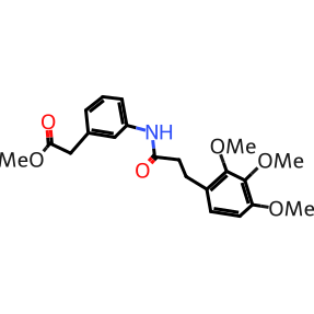 COC(=O)Cc1cccc(NC(=O)CCc2ccc(OC)c(OC)c2OC)c1